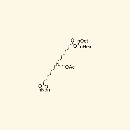 CCCCCCCCCOC(=O)CCCCCCCN(CCCCCCCC(=O)OC(CCCCCC)CCCCCCCC)CCOC(C)=O